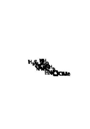 COc1ccc(NCCC2(N)N=c3ncn(C)c3=C(N)N2)cc1